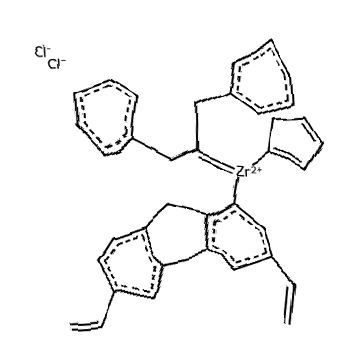 C=Cc1ccc2c(c1)-c1cc(C=C)c[c]([Zr+2]([C]3=CC=CC3)=[C](Cc3ccccc3)Cc3ccccc3)c1C2.[Cl-].[Cl-]